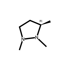 C[C@@H]1CCN(C)N1C